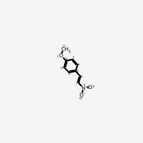 COc1ccc(C=C[N+](=O)[O-])cc1